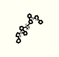 c1ccc(-c2cccc(-n3c4ccccc4c4cc(-c5nnc(-c6cccc7c6c6ccccc6n7-c6cccc(-c7ccccc7)n6)s5)ccc43)n2)cc1